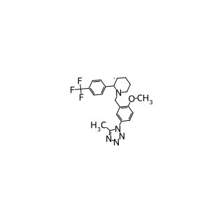 COc1ccc(-n2nnnc2C)cc1CN1CCC[CH]C1c1ccc(C(F)(F)F)cc1